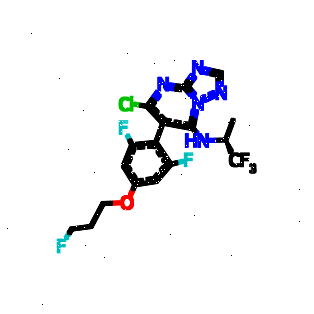 C[C@H](Nc1c(-c2c(F)cc(OCCCF)cc2F)c(Cl)nc2ncnn12)C(F)(F)F